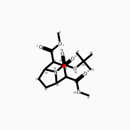 COC(=O)C1C(=O)C(C(=O)OC)C2CCC1N2C(=O)OC(C)(C)C